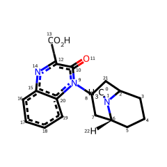 CN1C2CCC[C@@H]1CC(n1c(=O)c(C(=O)O)nc3ccccc31)C2